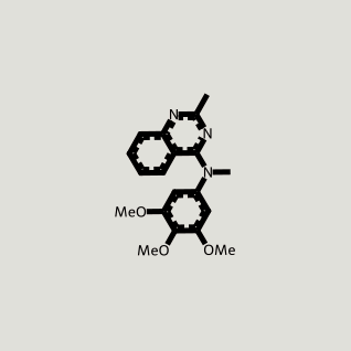 COc1cc(N(C)c2nc(C)nc3ccccc23)cc(OC)c1OC